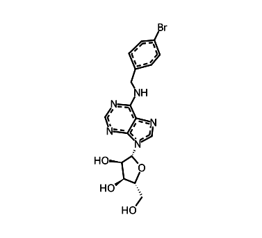 OC[C@H]1O[C@@H](n2cnc3c(NCc4ccc(Br)cc4)ncnc32)[C@H](O)[C@@H]1O